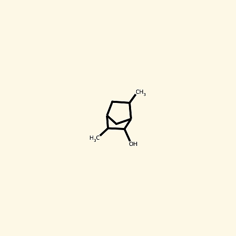 CC1CC2CC1C(O)C2C